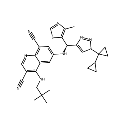 Cc1ncsc1[C@H](Nc1cc(C#N)c2ncc(C#N)c(NCC(C)(C)C)c2c1)c1cn(C2(C3CC3)CC2)nn1